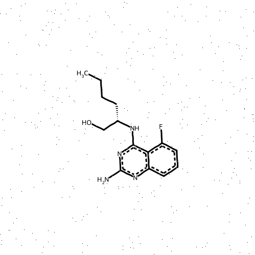 CCCC[C@@H](CO)Nc1nc(N)nc2cccc(F)c12